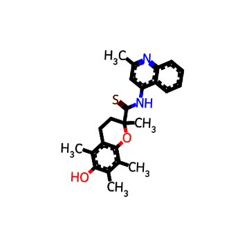 Cc1cc(NC(=S)C2(C)CCc3c(C)c(O)c(C)c(C)c3O2)c2ccccc2n1